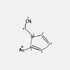 CC(=O)c1cccn1CC#N